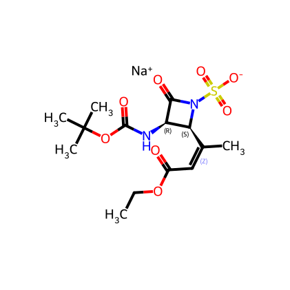 CCOC(=O)/C=C(/C)[C@H]1[C@@H](NC(=O)OC(C)(C)C)C(=O)N1S(=O)(=O)[O-].[Na+]